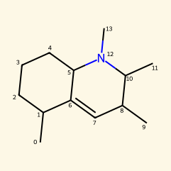 CC1CCCC2C1=CC(C)C(C)N2C